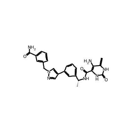 C=C1NC(=O)NC(C(=O)N[C@H](C)c2cccc(-c3cnn(Cc4cccc(C(N)=O)c4)c3)c2)=C1N